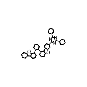 c1ccc(-c2nc(-c3ccccc3)nc(-c3ccc4c(c3)oc3cccc(-c5ccccc5-c5cccc6c5oc5ccccc56)c34)n2)cc1